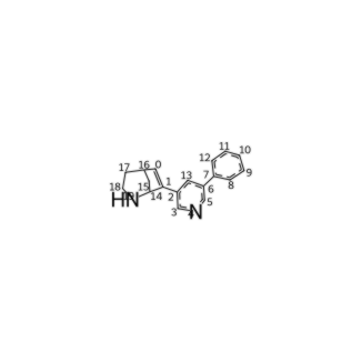 C1=C(c2cncc(-c3ccccc3)c2)C2CC1CCN2